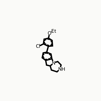 CCOc1ccc(-c2ccc3c(c2)N2CCNCCC2C3)c(Cl)c1